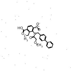 CCc1c(C(=O)O)ccc([N+](=O)[O-])c1N(Cc1ccc(-c2ccccc2)cc1)C(=O)COC